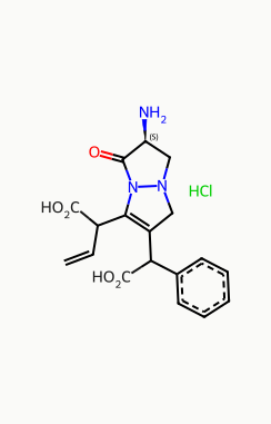 C=CC(C(=O)O)C1=C(C(C(=O)O)c2ccccc2)CN2C[C@H](N)C(=O)N12.Cl